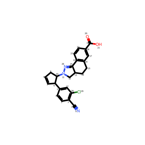 N#Cc1ccc(C2C=CCC2N2CC3CCc4cc(C(=O)O)ccc4C3=N2)cc1Cl